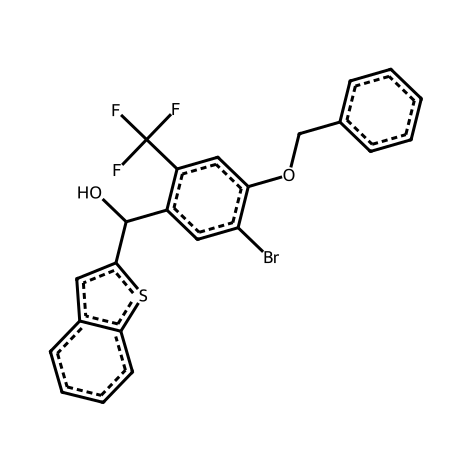 OC(c1cc2ccccc2s1)c1cc(Br)c(OCc2ccccc2)cc1C(F)(F)F